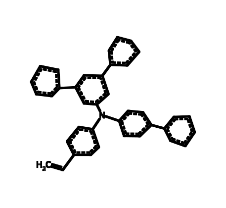 C=Cc1ccc(N(c2ccc(-c3ccccc3)cc2)c2cc(-c3ccccc3)cc(-c3ccccc3)c2)cc1